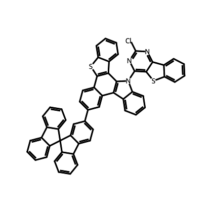 Clc1nc(-n2c3ccccc3c3c4cc(-c5ccc6c(c5)C5(c7ccccc7-c7ccccc75)c5ccccc5-6)ccc4c4sc5ccccc5c4c32)c2sc3ccccc3c2n1